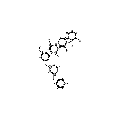 CCc1ccccc1.Cc1ccc(C)cc1.Cc1cccc(C)c1.Cc1ccccc1.Cc1ccccc1C.c1ccccc1